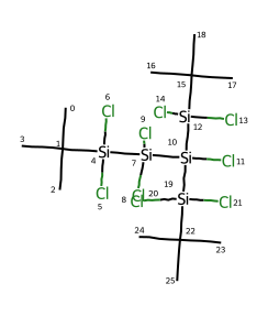 CC(C)(C)[Si](Cl)(Cl)[Si](Cl)(Cl)[Si](Cl)([Si](Cl)(Cl)C(C)(C)C)[Si](Cl)(Cl)C(C)(C)C